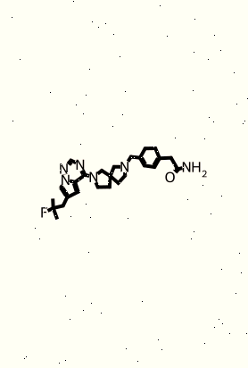 CC(C)(F)Cc1cc2c(N3CCC4(CCN(CC5=CC=C(CC(N)=O)CC5)C4)C3)ncnn2c1